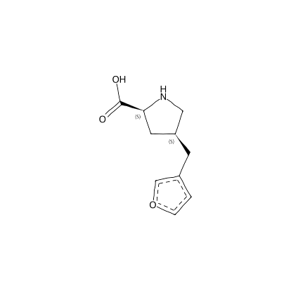 O=C(O)[C@@H]1C[C@H](Cc2ccoc2)CN1